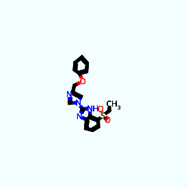 CCS(=O)(=O)c1cccc2nc(-n3cnc(COc4ccccc4)c3)[nH]c12